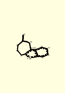 CC1CCCc2sc3ccccc3c2C1